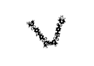 CC1(C)CC(OC(=O)c2ccc(/C(F)=C(\F)c3ccc(C(=O)OC4CC(C)(C)NC(C)(CCC5(C)CC(OC(=O)c6ncc(-c7ccc(C(=O)OC8CC(C)(C)NC(C)(C)C8)cc7)cn6)CC(C)(C)N5)C4)cn3)cc2)CC(C)(C)N1